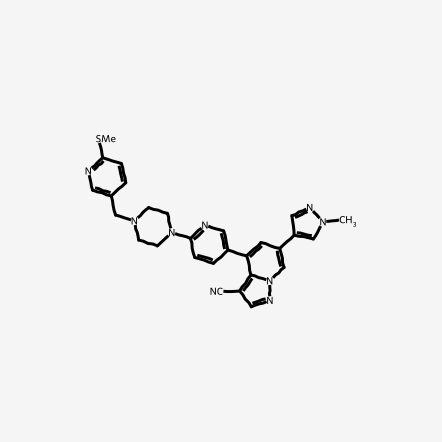 CSc1ccc(CN2CCN(c3ccc(-c4cc(-c5cnn(C)c5)cn5ncc(C#N)c45)cn3)CC2)cn1